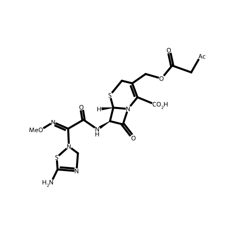 CO/N=C(/C(=O)N[C@@H]1C(=O)N2C(C(=O)O)=C(COC(=O)CC(C)=O)CS[C@@H]12)N1CN=C(N)S1